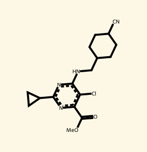 COC(=O)c1nc(C2CC2)nc(NCC2CCC(C#N)CC2)c1Cl